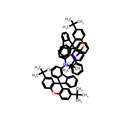 CC(C)(C)c1ccc2c(c1)C1(c3cc(C(C)(C)C)ccc3O2)c2ccccc2-c2ccc(N(c3ccccc3-n3c4ccccc4c4ccccc43)c3cccc4c3-c3ccccc3C43c4cc(C(C)(C)C)ccc4Oc4ccc(C(C)(C)C)cc43)cc21